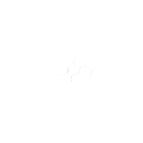 COc1cc(C)c(/C=N\O)cc1Cl